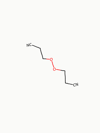 N#CCCOOCCC#N